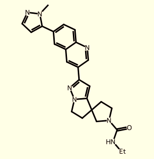 CCNC(=O)N1CCC2(CCn3nc(-c4cnc5ccc(-c6ccnn6C)cc5c4)cc32)C1